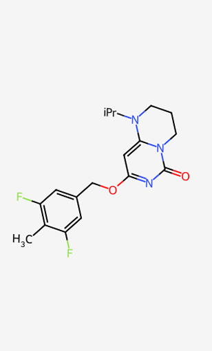 Cc1c(F)cc(COc2cc3n(c(=O)n2)CCCN3C(C)C)cc1F